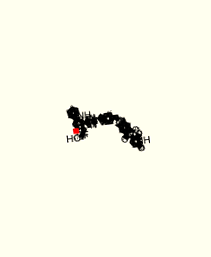 C[C@@H]1Cc2c([nH]c3ccccc23)[C@@H](c2cnc(N3CC4(CCC(CN5Cc6cc7c(cc6C5)C(=O)N(C5CCC(=O)NC5=O)C7=O)CC4)C3)nc2)N1CC(F)(F)CO